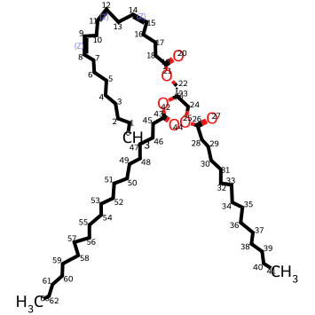 CCCCCCCC/C=C\C/C=C\C/C=C\CCCC(=O)OC[C@H](COC(=O)CCCCCCCCCCCCCC)OC(=O)CCCCCCCCCCCCCCCCCCC